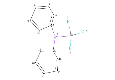 FC(F)(F)[I+](c1ccccc1)c1ccccc1